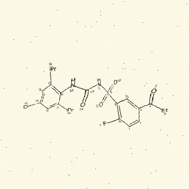 CCC(=O)c1ccc(F)c(S(=O)(=O)NC(=O)Nc2c(C(C)C)cc(Cl)cc2C(C)C)c1